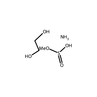 COS(=O)O.N.OCCO